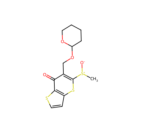 C[S+]([O-])c1sc2ccsc2c(=O)c1COC1CCCCO1